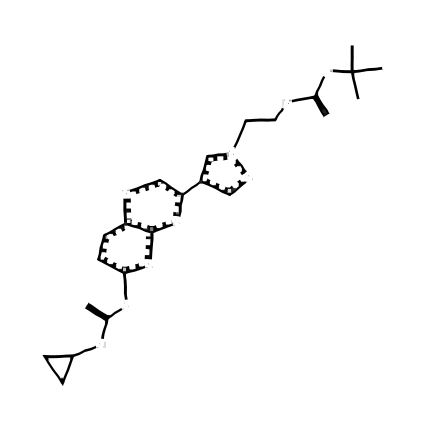 CC(C)(C)OC(=O)NCCn1cc(-c2cnc3ccc(NC(=O)NC4CC4)nc3n2)cn1